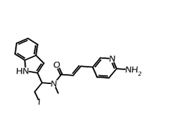 CN(C(=O)/C=C/c1ccc(N)nc1)C(CI)c1cc2ccccc2[nH]1